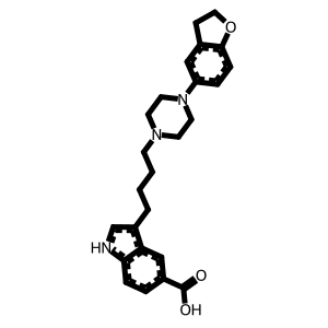 O=C(O)c1ccc2[nH]cc(CCCCN3CCN(c4ccc5c(c4)CCO5)CC3)c2c1